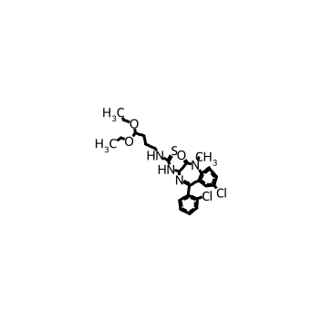 CCOC(CCCNC(=S)NC1N=C(c2ccccc2Cl)c2cc(Cl)ccc2N(C)C1=O)OCC